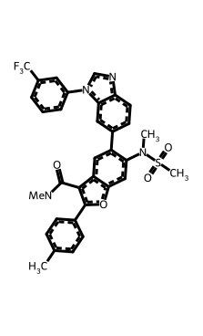 CNC(=O)c1c(-c2ccc(C)cc2)oc2cc(N(C)S(C)(=O)=O)c(-c3ccc4ncn(-c5cccc(C(F)(F)F)c5)c4c3)cc12